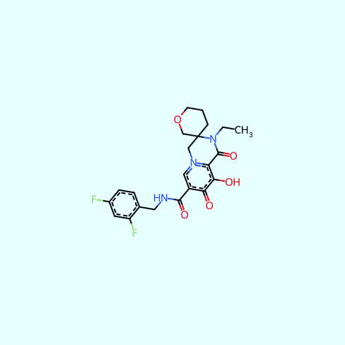 CCN1C(=O)c2c(O)c(=O)c(C(=O)NCc3ccc(F)cc3F)cn2CC12CCCOC2